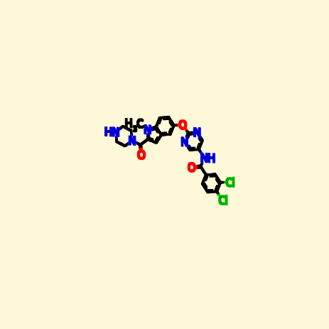 Cn1c(C(=O)N2CCNCC2)cc2cc(Oc3ncc(NC(=O)c4ccc(Cl)c(Cl)c4)cn3)ccc21